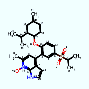 Cc1cc(-c2cc(S(=O)(=O)C(C)C)ccc2OC2CCC(C)CC2C(C)C)c2cc[nH]c2[n+]1[O-]